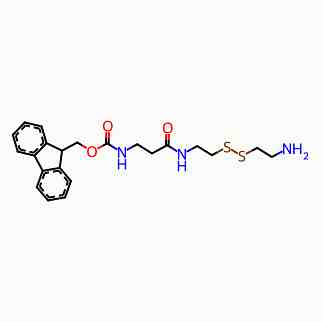 NCCSSCCNC(=O)CCNC(=O)OCC1c2ccccc2-c2ccccc21